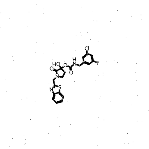 O=C(NCc1cc(F)cc(Cl)c1)OC1(O)CCN(Cc2nc3ccccc3s2)C1=O